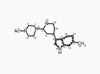 CC(=O)N1CCN(C2CC(c3c[nH]c4cc(C)ccc34)CC[N]2)CC1